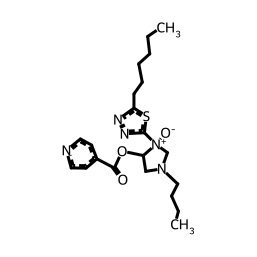 CCCCCCc1nnc([N+]2([O-])CN(CCCC)CC2OC(=O)c2ccncc2)s1